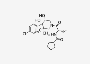 CC(C)[C@@H](NC(=O)C1CCCC1)C(=O)N1C[C@@H](O)[C@](O)(c2ccc(Cl)cc2)C(C)(C)C1